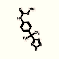 CC(C)(C)OC(=O)Nc1ccc(C(c2nn[nH]n2)(C(F)(F)F)C(F)(F)F)cc1